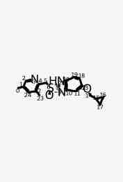 Cc1cnc(C[S+]([O-])c2nc3cc(OCC4CC4)ccc3[nH]2)c(C)c1